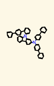 c1ccc(-c2ccc(-c3ccccc3-n3c4ccccc4c4ccc(N(c5ccc(-c6ccccc6)cc5)c5ccc(-c6ccccc6)cc5)cc43)cc2)cc1